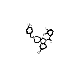 CC(C)(C)c1ccc(CN2CCC3(CC2)CN(C(=O)c2cccc(F)c2F)c2ccc(Cl)cc23)cc1